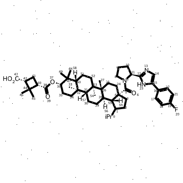 CC(C)C1CC[C@]2(C(=O)N3CCC[C@H]3c3ncc(-c4ccc(F)cc4)[nH]3)CC[C@]3(C)[C@H](CC[C@@H]4[C@@]5(C)CC[C@H](OC(=O)[C@H]6C[C@@H](C(=O)O)C6(C)C)C(C)(C)[C@@H]5CC[C@]43C)[C@@H]12